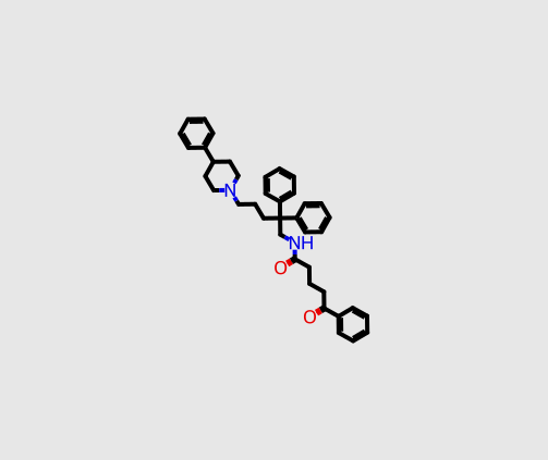 O=C(CCCC(=O)c1ccccc1)NCC(CCCN1CCC(c2ccccc2)CC1)(c1ccccc1)c1ccccc1